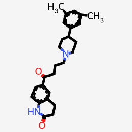 Cc1cc(C)cc(C2CCN(CCCC(=O)c3ccc4c(c3)CCC(=O)N4)CC2)c1